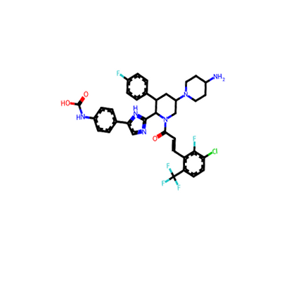 NC1CCN(C2CC(c3ccc(F)cc3)C(c3ncc(-c4ccc(NC(=O)O)cc4)[nH]3)N(C(=O)C=Cc3c(C(F)(F)F)ccc(Cl)c3F)C2)CC1